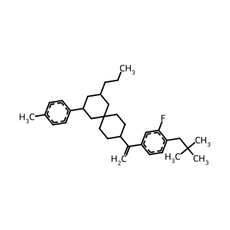 C=C(c1ccc(CC(C)(C)C)c(F)c1)C1CCC2(CC1)CC(CCC)CC(c1ccc(C)cc1)C2